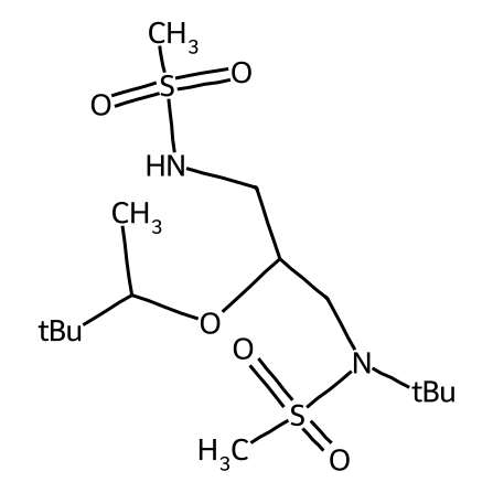 CC(OC(CNS(C)(=O)=O)CN(C(C)(C)C)S(C)(=O)=O)C(C)(C)C